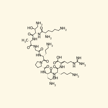 C[C@H](NC(=O)[C@@H](NC(=O)[C@@H](N)CCCCN)[C@@H](O)CN)C(=O)NCC(=O)N[C@H](CCCN)C(=O)N1CCC[C@H]1C(=O)N[C@@H](C[C@@H](N)O)C(=O)N[C@@H](CCCCN)C(=O)N/C(=C\CCNC(=N)N)C(=O)O